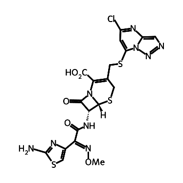 CON=C(C(=O)N[C@@H]1C(=O)N2C(C(=O)O)=C(CSc3cc(Cl)nc4cnnn34)CS[C@H]12)c1csc(N)n1